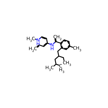 C=C/C=C(\C=C/NC)NC(=C)c1ccc(C)cc1CC(CC)CC(C)C